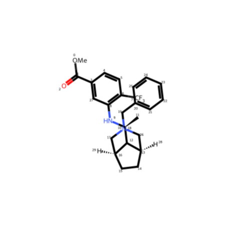 COC(=O)c1ccc(C(F)(F)F)c(N[C@@H](C)C2[C@@H]3CC[C@H]2CN(Cc2ccccc2)C3)c1